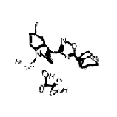 Cn1cc(-c2noc(C3CN4CCC3CC4)n2)c2cc(F)ccc21.O=C(O)C(=O)O